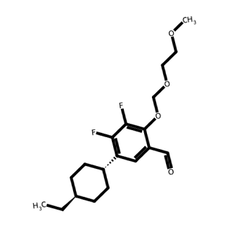 CC[C@H]1CC[C@H](c2cc(C=O)c(OCOCCOC)c(F)c2F)CC1